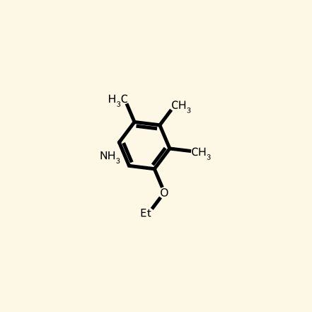 CCOc1ccc(C)c(C)c1C.N